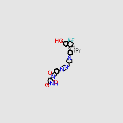 CC(C)C[C@H]1CC(F)(F)c2cc(O)ccc2[C@H]1c1ccc(N2CCC(CN3CCN(c4ccc5c(c4)CN([C@H]4CCC(=O)NC4=O)C5=O)CC3)CC2)cc1